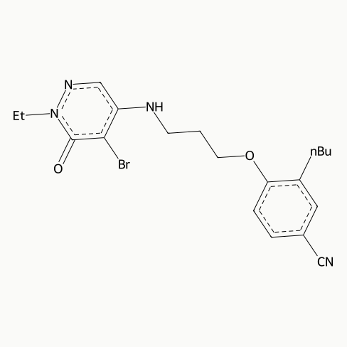 CCCCc1cc(C#N)ccc1OCCCNc1cnn(CC)c(=O)c1Br